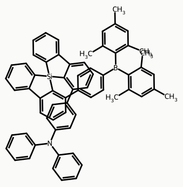 Cc1cc(C)c(B(c2ccc(-c3cccc4c3[Si]3(c5ccccc5-4)c4ccccc4-c4cccc(-c5ccc(N(c6ccccc6)c6ccccc6)cc5)c43)cc2)c2c(C)cc(C)cc2C)c(C)c1